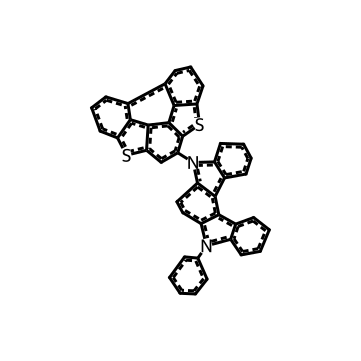 c1ccc(-n2c3ccccc3c3c4c5ccccc5n(-c5cc6sc7cccc8c9cccc%10sc5c(c%109)c6c78)c4ccc32)cc1